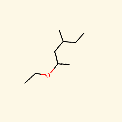 CCOC(C)CC(C)CC